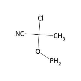 CC(Cl)(C#N)OP